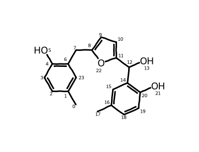 Cc1ccc(O)c(Cc2ccc(C(O)c3cc(C)ccc3O)o2)c1